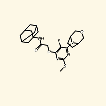 CSc1nc(OCC(=O)NC23CC4CC(CC(C4)C2)C3)c(F)c(N2C3CCC2COC3)n1